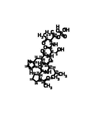 CC(=O)[C@@H](NC(=O)[C@H](CO)NC(=O)[C@H](Cc1c[nH]cn1)NC(=O)[C@H](CC(C)C)NC(=O)[C@@H]1CCCN1C(C)=O)[C@@H](C)OP(=O)(O)O